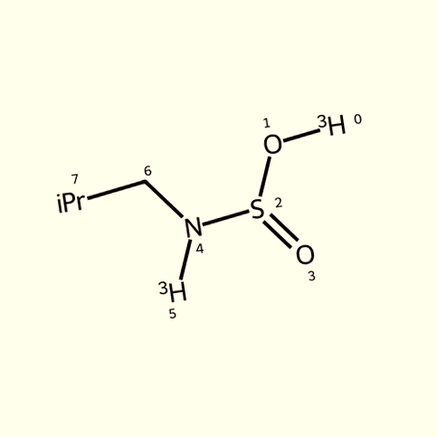 [3H]OS(=O)N([3H])CC(C)C